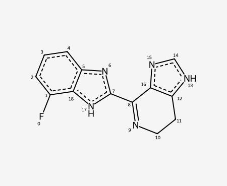 Fc1cccc2nc(C3=NCCc4[nH]cnc43)[nH]c12